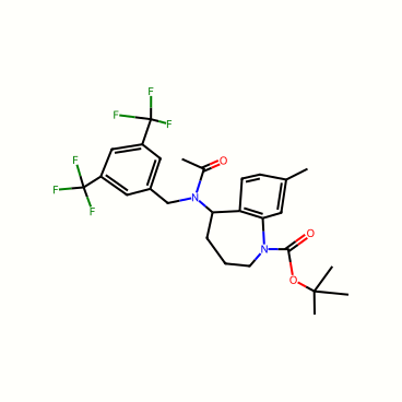 CC(=O)N(Cc1cc(C(F)(F)F)cc(C(F)(F)F)c1)C1CCCN(C(=O)OC(C)(C)C)c2cc(C)ccc21